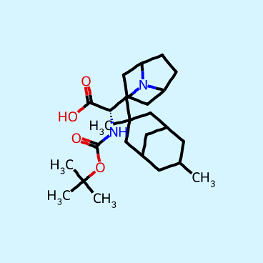 CC1CC2CC(C1)CC(C)(CN1C3CCC1CC([C@H](NC(=O)OC(C)(C)C)C(=O)O)C3)C2